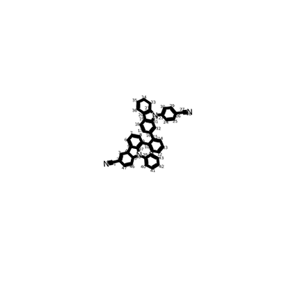 N#CC1=CC2c3cccc(-c4ccccc4-c4ccc5c6c(n(-c7ccc(C#N)cc7)c5c4)CCC=C6)c3N(c3ccccc3)C2C=C1